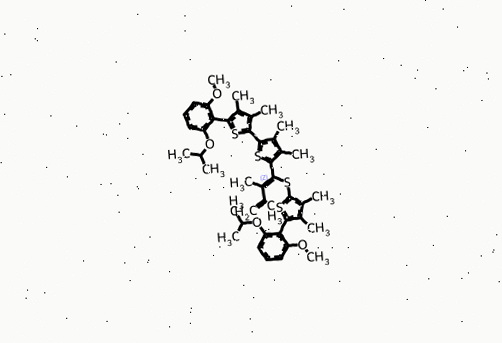 C=C(C)/C(C)=C(\Sc1sc(-c2c(OC)cccc2OC(C)C)c(C)c1C)c1sc(-c2sc(-c3c(OC)cccc3OC(C)C)c(C)c2C)c(C)c1C